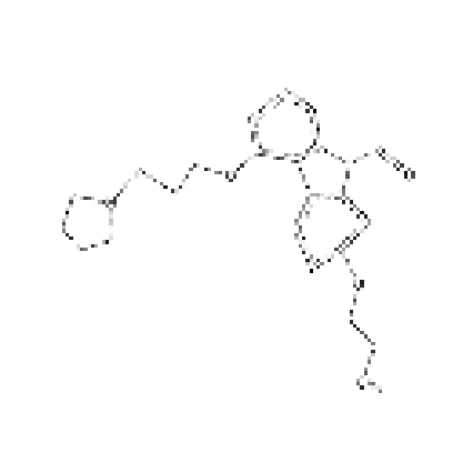 CCCOc1ccc2c(c1)C(C=O)c1cccc(OCCCN3CCCC3)c1-2